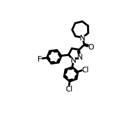 O=C(C1=NN(c2ccc(Cl)cc2Cl)C(c2ccc(F)cc2)C1)N1CCCCCC1